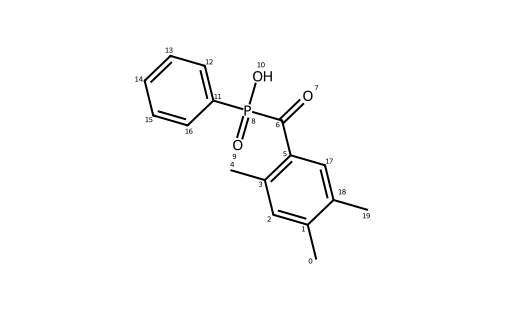 Cc1cc(C)c(C(=O)P(=O)(O)c2ccccc2)cc1C